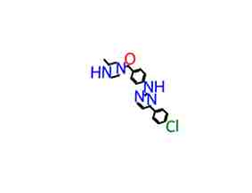 CC1CN(C(=O)c2ccc(Nc3nccc(-c4ccc(Cl)cc4)n3)cc2)CCN1